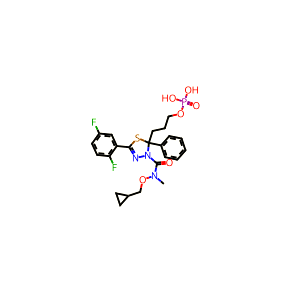 CN(OCC1CC1)C(=O)N1N=C(c2cc(F)ccc2F)SC1(CCCOP(=O)(O)O)c1ccccc1